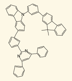 CC1(C)c2ccccc2-c2ccc(-c3cccc(-n4c5ccccc5c5cc(-c6cccc(-c7nc(-c8ccccc8)cc(-c8ccccc8)n7)c6)ccc54)c3)cc21